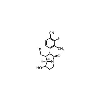 Cc1c(N2C(=O)N3CCC(O)[C@H]3C2CF)ccc(C#N)c1F